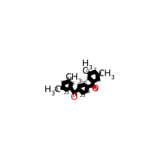 Cc1cc(C)cc(C(=O)c2ccc(C(=O)c3cc(C)cc(C)c3)cc2)c1